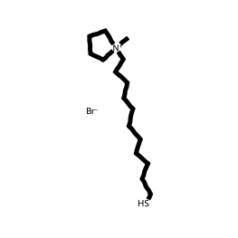 C[N+]1(CCCCCCCCCCCS)CCCC1.[Br-]